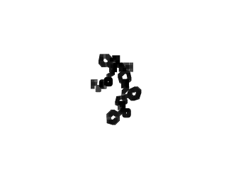 O=C(c1ccccc1)N1CCC(CCN2CCC(Nc3nc4ccccc4n3CCOC(F)(F)F)CC2)(c2ccccc2)C1